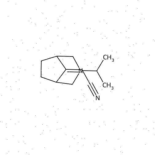 CC(C)N1CC2CCC(C1)C2=CC#N